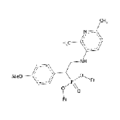 CCOP(=O)(OCC)C(CNc1ccc(C)nc1C)c1ccc(OC)cc1